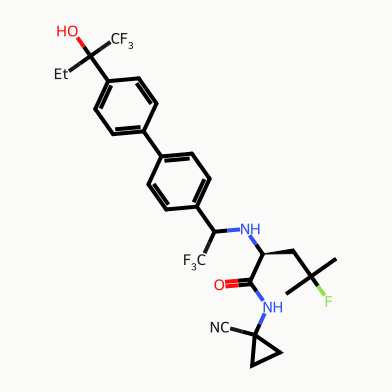 CCC(O)(c1ccc(-c2ccc(C(N[C@@H](CC(C)(C)F)C(=O)NC3(C#N)CC3)C(F)(F)F)cc2)cc1)C(F)(F)F